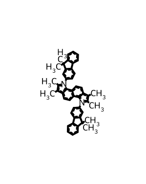 Cc1c(C)n(-c2ccc3c(c2)C(C)(C)c2ccccc2-3)c2c1ccc1c2ccc2c(C)c(C)n(-c3ccc4c(c3)C(C)(C)c3ccccc3-4)c21